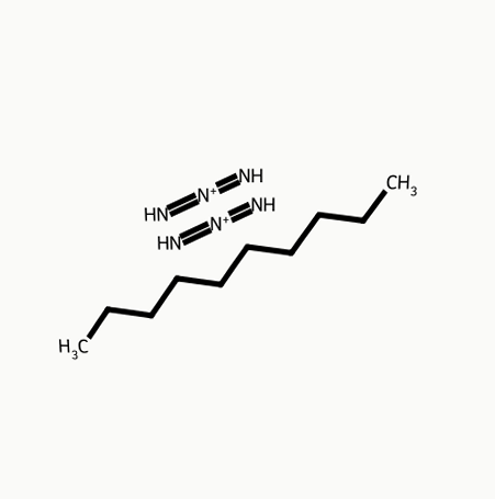 CCCCCCCCCC.N=[N+]=N.N=[N+]=N